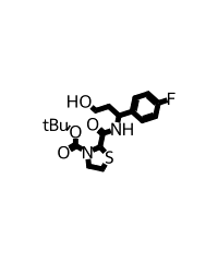 CC(C)(C)OC(=O)N1CCSC1C(=O)NC(CCO)c1ccc(F)cc1